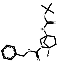 CC(C)(C)OC(=O)N[C@@]12CC[C@@H](C1)N(C(=O)OCc1ccccc1)C2